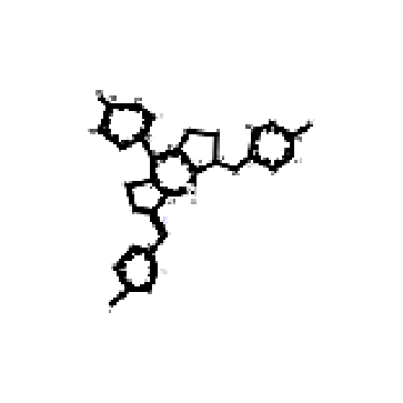 Cc1ccc(/C=C2\CCc3c2nc2c(c3-c3ccc(C)cc3)CCC2Cc2ccc(C)cc2)cc1